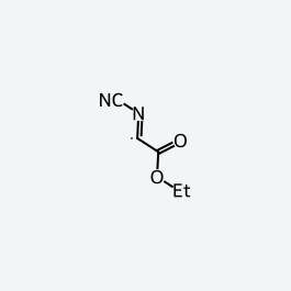 CCOC(=O)[C]=NC#N